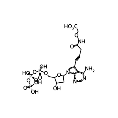 Nc1ncnc2c1c(C#CCC(=O)NOCC(=O)O)cn2C1CC(O)C(COP(=O)(O)OP(=O)(O)OP(=O)(O)O)O1